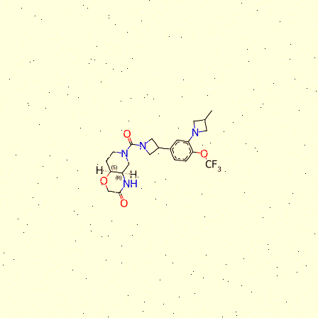 CC1CN(c2cc(C3CN(C(=O)N4CC[C@@H]5OCC(=O)N[C@@H]5C4)C3)ccc2OC(F)(F)F)C1